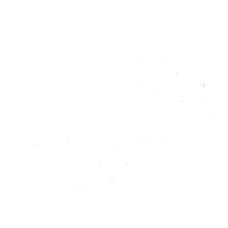 CCC(=O)c1ccc(OCc2cccc(C(OC3CCCCO3)c3cccc(N)c3)c2)c(C)c1O